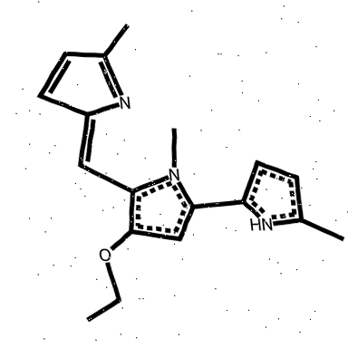 CCOc1cc(-c2ccc(C)[nH]2)n(C)c1C=C1C=CC(C)=N1